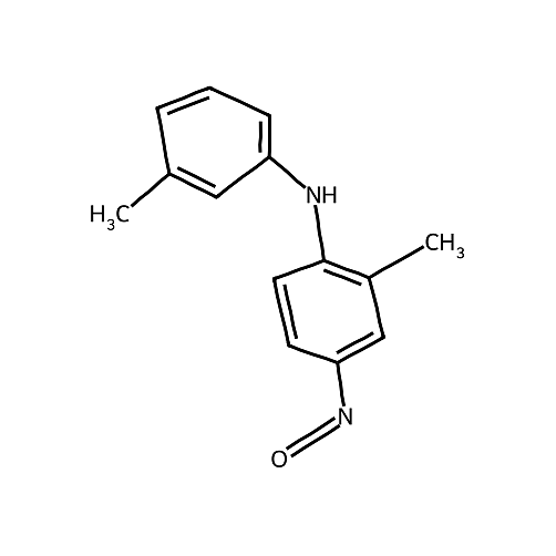 Cc1cccc(Nc2ccc(N=O)cc2C)c1